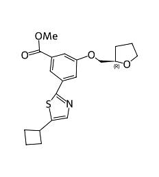 COC(=O)c1cc(OC[C@H]2CCCO2)cc(-c2ncc(C3CCC3)s2)c1